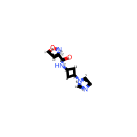 O=C(NC1CC(n2ccnc2)C1)c1ccon1